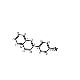 Brc1ccc(-c2[c]c3ccccc3cc2)cc1